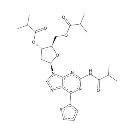 CC(C)C(=O)Nc1nc(-c2cccs2)c2ncn([C@H]3C[C@H](OC(=O)C(C)C)[C@@H](COC(=O)C(C)C)O3)c2n1